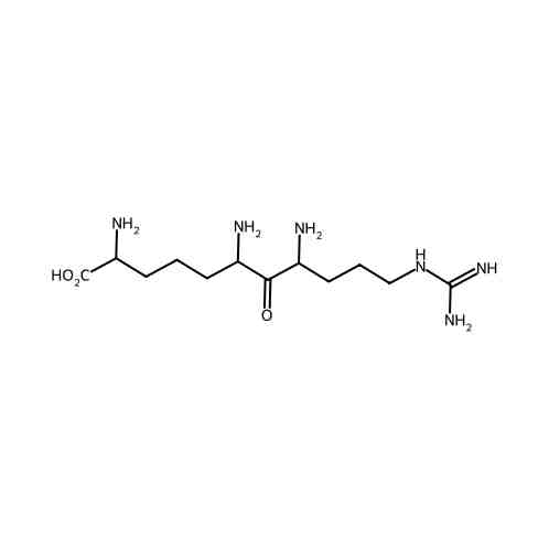 N=C(N)NCCCC(N)C(=O)C(N)CCCC(N)C(=O)O